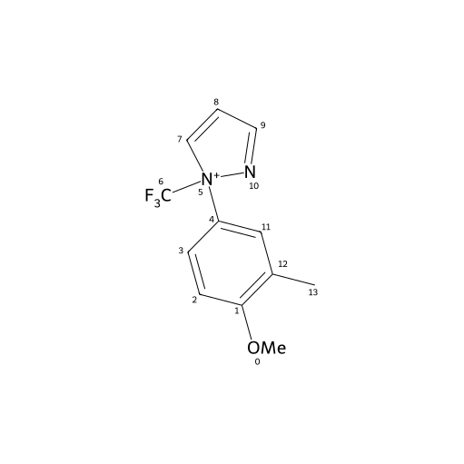 COc1ccc([N+]2(C(F)(F)F)C=CC=N2)cc1C